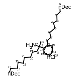 CCCCCCCCCCCCCCCCCCc1ccccc1C(C)(N)CCCCCCCCCCCCCCCCCC.Cl